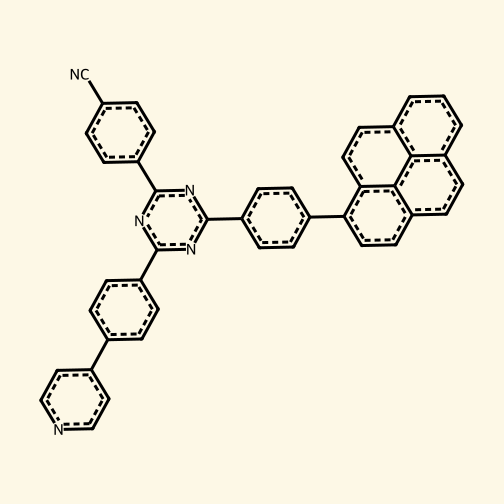 N#Cc1ccc(-c2nc(-c3ccc(-c4ccncc4)cc3)nc(-c3ccc(-c4ccc5ccc6cccc7ccc4c5c67)cc3)n2)cc1